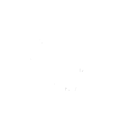 NC(=O)C(Br)c1ccc2c(c1)OCO2